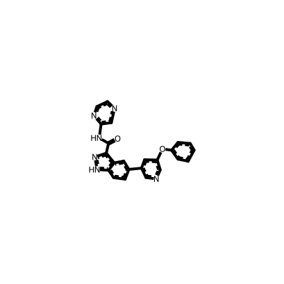 O=C(Nc1cnccn1)c1n[nH]c2ccc(-c3cncc(Oc4ccccc4)c3)cc12